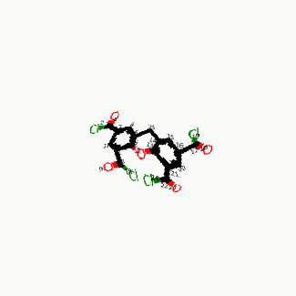 O=C(Cl)c1cc2c(c(C(=O)Cl)c1)Oc1c(cc(C(=O)Cl)cc1C(=O)Cl)C2